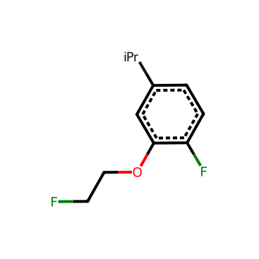 CC(C)c1ccc(F)c(OCCF)c1